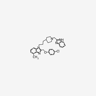 Cc1cccc2c1nc(COc1ccc(Cl)cc1)n2CCCC1CCN(Cc2nc3ccccc3[nH]2)CC1